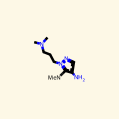 CNc1c(N)cnn1CCCN(C)C